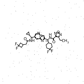 CCc1nonc1C(=O)N[C@H](c1cn2ncc([C@H](NC(=O)CC3CC(F)(F)C3)C3CC3)cc2n1)C1CCC(F)(F)CC1